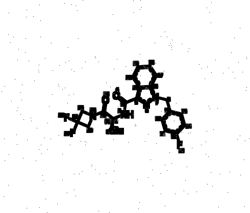 CC(C)(C)[C@H](NC(=O)c1nn(Cc2ccc(F)cc2)c2ccccc12)C(=O)N1CC(F)(F)C1